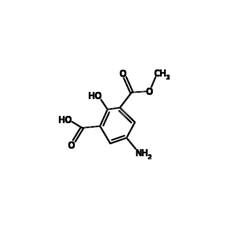 COC(=O)c1cc(N)cc(C(=O)O)c1O